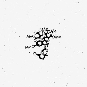 COC(=O)C1=C(C(=O)OC)SC2(S1)C(C(=O)OC)=C(C(=O)OC)SC1=C2c2ccc(OC)cc2N(C(=O)CN2C(=O)CCC2=O)C1(C)C